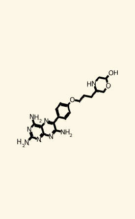 Nc1nc(N)c2nc(-c3ccc(OCCCC4COC(O)CN4)cc3)c(N)nc2n1